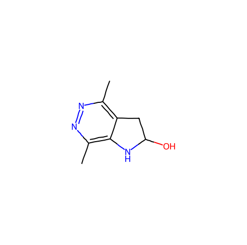 Cc1nnc(C)c2c1CC(O)N2